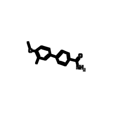 COc1ccc(-c2ccc(C(N)=O)cc2)cc1C